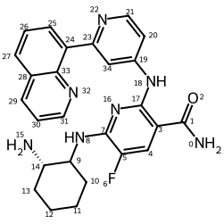 NC(=O)c1cc(F)c(NC2CCCC[C@@H]2N)nc1Nc1ccnc(-c2cccc3cccnc23)c1